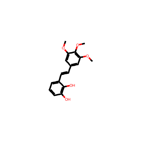 COc1cc(C=Cc2cccc(O)c2O)cc(OC)c1OC